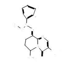 CCON(N=C1CCC(C)n2c1ncc(C(=O)O)c2=O)c1ccccc1